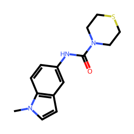 Cn1ccc2cc(NC(=O)N3CCSCC3)ccc21